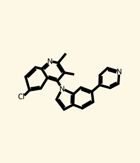 Cc1nc2ccc(Cl)cc2c(-n2ccc3ccc(-c4ccncc4)cc32)c1C